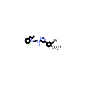 Cc1cc2cccc(F)c2n1CCNc1cc(-c2ccc(C(=O)O)c(CC(C)C)c2)ncn1